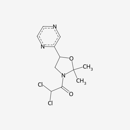 CC1(C)OC(c2cnccn2)CN1C(=O)C(Cl)Cl